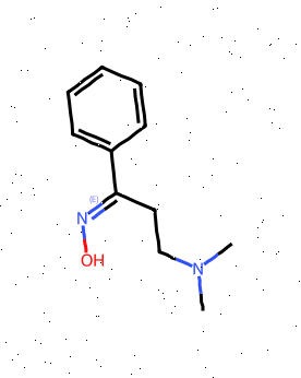 CN(C)CC/C(=N\O)c1ccccc1